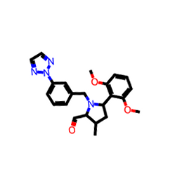 COc1cccc(OC)c1C1CC(C)C(C=O)N1Cc1cccc(-n2nccn2)c1